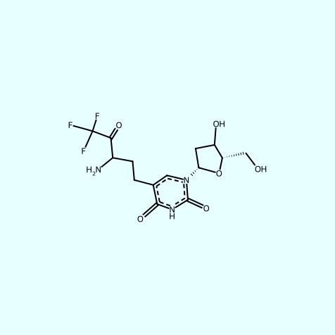 NC(CCc1cn([C@@H]2CC(O)[C@H](CO)O2)c(=O)[nH]c1=O)C(=O)C(F)(F)F